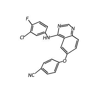 N#Cc1ccc(Oc2ccc3ncnc(Nc4ccc(F)c(Cl)c4)c3c2)cc1